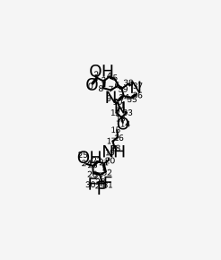 O=C(O)c1ccc2c(c1)nc(N1CC(OCCCCNCc3cc(CO)cc(C(F)(F)F)c3)C1)c1ccncc12